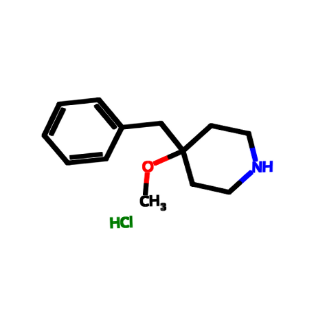 COC1(Cc2ccccc2)CCNCC1.Cl